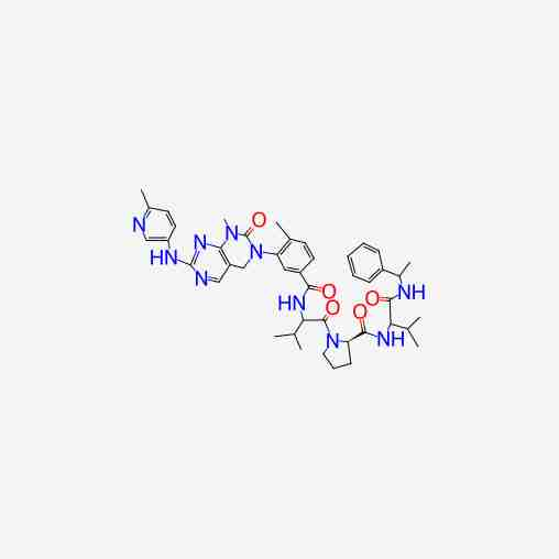 Cc1ccc(Nc2ncc3c(n2)N(C)C(=O)N(c2cc(C(=O)NC(C(=O)N4CCC[C@@H]4C(=O)NC(C(=O)NC(C)c4ccccc4)C(C)C)C(C)C)ccc2C)C3)cn1